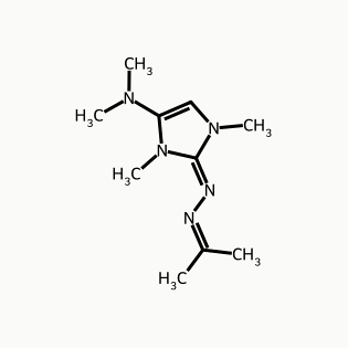 CC(C)=NN=c1n(C)cc(N(C)C)n1C